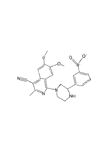 COc1cc2c(N3CCNC(c4cccc([N+](=O)[O-])c4)C3)nc(C)c(C#N)c2cc1OC